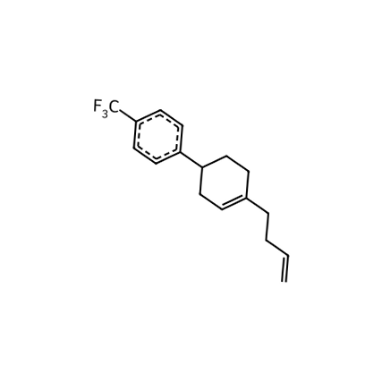 C=CCCC1=CCC(c2ccc(C(F)(F)F)cc2)CC1